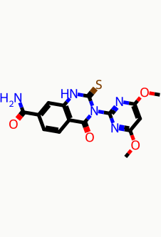 COc1cc(OC)nc(-n2c(=S)[nH]c3cc(C(N)=O)ccc3c2=O)n1